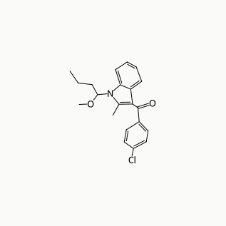 CCCC(OC)n1c(C)c(C(=O)c2ccc(Cl)cc2)c2ccccc21